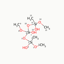 CO[Si](C)(O)O[Si](O)(OC)O[Si](C)(O)OC